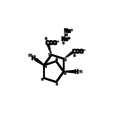 O=C([O-])[C@@H]1[C@@H]2CC[C@@H](C2)[C@@H]1C(=O)[O-].[Na+].[Na+]